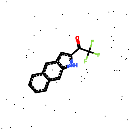 O=C(c1cc2cc3ccccc3cc2[nH]1)C(F)(F)F